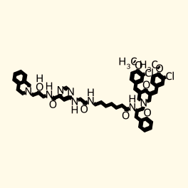 COc1ccc(C=C2CN(C(=O)C(Cc3ccccc3)NC(=O)CCCCCCNC(=O)CNc3cc(C(=O)NCC(O)CN4CCc5ccccc5C4)ncn3)CC(=Cc3ccc(OC)c(Cl)c3)C2=O)cc1Cl